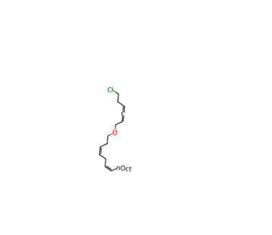 CCCCCCCC/C=C\C/C=C\CCOCC=C=CCCCl